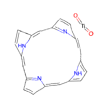 C1=Cc2cc3ccc(cc4nc(cc5ccc(cc1n2)[nH]5)C=C4)[nH]3.[O]=[Ti]=[O]